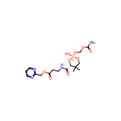 CC(C)(C)C(=O)OCO[PH]1(O)OCC(C)(C)[C@H](C(=O)NCCC(=O)OCc2ncccn2)O1